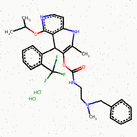 CC1=C(OC(=O)NCCN(C)Cc2ccccc2)C(c2ccccc2C(F)(F)F)c2c(ccnc2OC(C)C)N1.Cl.Cl